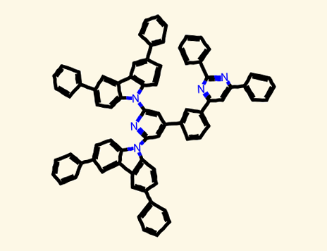 c1ccc(-c2ccc3c(c2)c2cc(-c4ccccc4)ccc2n3-c2cc(-c3cccc(-c4cc(-c5ccccc5)nc(-c5ccccc5)n4)c3)cc(-n3c4ccc(-c5ccccc5)cc4c4cc(-c5ccccc5)ccc43)n2)cc1